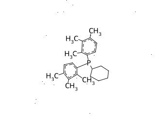 Cc1ccc(P(c2ccc(C)c(C)c2C)C2CCCCC2)c(C)c1C